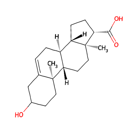 C[C@]12CC[C@H]3[C@@H](CC=C4CC(O)CC[C@@]43C)[C@@H]1CC[C@@H]2C(=O)O